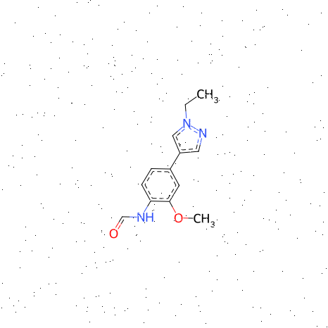 CCn1cc(-c2ccc(NC=O)c(OC)c2)cn1